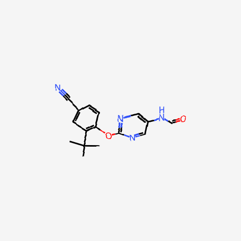 CC(C)(C)c1cc(C#N)ccc1Oc1ncc(NC=O)cn1